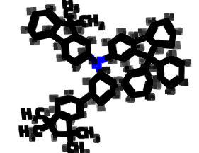 CC1(C)CC(C)(C)c2cc(-c3cccc(N(c4ccc5c(c4)C(C)(C)c4ccccc4-5)c4ccc5c(c4)C(c4ccccc4)(c4ccccc4)c4ccccc4-5)c3)ccc21